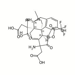 CN1CC[C@]23c4c5ccc(O)c4O[C@H]2C(C(N)(CC(=O)O)C(=O)OOC(=O)C(F)(F)F)=CC[C@@]3(C(N)(CC(=O)O)C(=O)O)[C@H]1C5